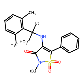 CCC(NC1=C(c2ccccc2)S(=O)(=O)N(C(C)(C)C)C1=O)(C(=O)O)c1c(C)cccc1C